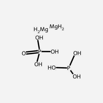 O=P(O)(O)O.OP(O)O.[MgH2].[MgH2]